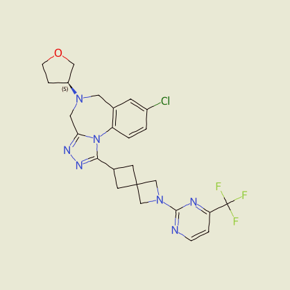 FC(F)(F)c1ccnc(N2CC3(CC(c4nnc5n4-c4ccc(Cl)cc4CN([C@H]4CCOC4)C5)C3)C2)n1